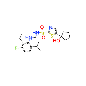 CC(C)c1ccc(F)c(C(C)C)c1NCNS(=O)(=O)c1ncc(C2(O)CCCC2)s1